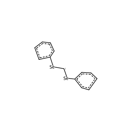 [C]([Se]c1ccccc1)[Se]c1ccccc1